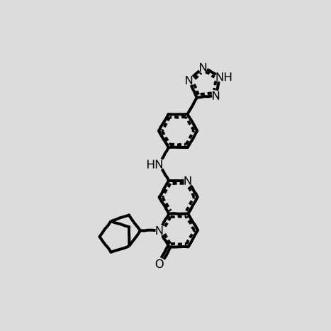 O=c1ccc2cnc(Nc3ccc(-c4nn[nH]n4)cc3)cc2n1C1CC2CCC1C2